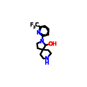 OC1N(c2cccc(C(F)(F)F)n2)CCC12CCNCC2